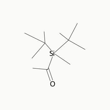 CC(=O)[Si](C)(C(C)(C)C)C(C)(C)C